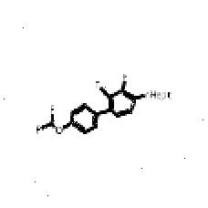 CCCCCCCc1ccc(-c2ccc(OC(F)F)cc2)c(F)c1F